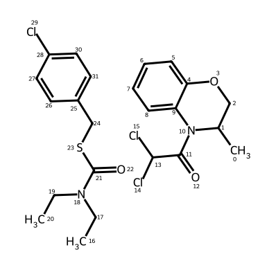 CC1COc2ccccc2N1C(=O)C(Cl)Cl.CCN(CC)C(=O)SCc1ccc(Cl)cc1